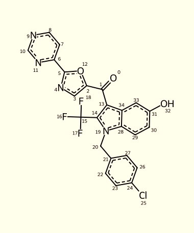 O=C(c1cnc(-c2ccncn2)o1)c1c(C(F)(F)F)n(Cc2ccc(Cl)cc2)c2ccc(O)cc12